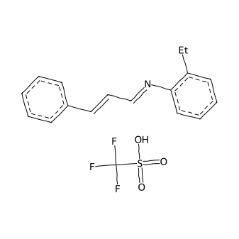 CCc1ccccc1N=CC=Cc1ccccc1.O=S(=O)(O)C(F)(F)F